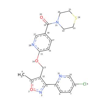 Cc1onc(-c2ccc(Cl)cn2)c1COc1ccc(C(=O)N2CCSCC2)cn1